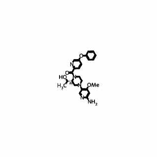 COc1cc(N)ncc1N1CCN(C(=O)c2ccc(Oc3ccccc3)cn2)[C@@H](C(C)O)C1